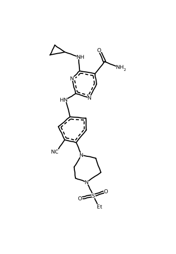 CCS(=O)(=O)N1CCN(c2ccc(Nc3ncc(C(N)=O)c(NC4CC4)n3)cc2C#N)CC1